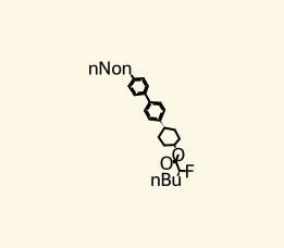 CCCCCCCCCc1ccc(-c2ccc([C@H]3CC[C@H](OC(=O)[C@@H](F)CCCC)CC3)cc2)cc1